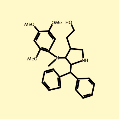 COc1cc(OC)c(N(C)C2C(CCO)CNC2C(c2ccccc2)c2ccccc2)cc1OC